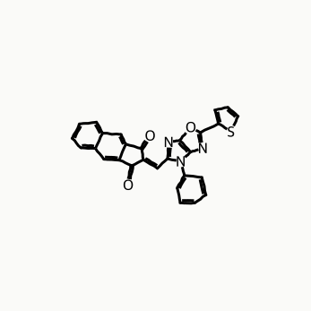 O=C1C(=Cc2nc3oc(-c4cccs4)nc3n2-c2ccccc2)C(=O)c2cc3ccccc3cc21